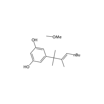 CCCC/C=C(\C)C(C)(C)c1cc(O)cc(O)c1.COC